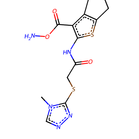 Cn1cnnc1SCC(=O)Nc1sc2c(c1C(=O)ON)CCC2